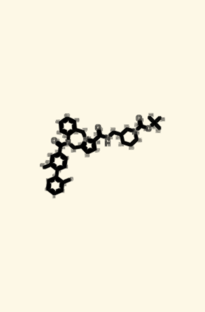 Cc1ccccc1-c1ccc(C(=O)N2Cc3ccc(C(=O)NCC4CCCN(C(=O)OC(C)(C)C)C4)n3Cc3ccccc32)cc1C